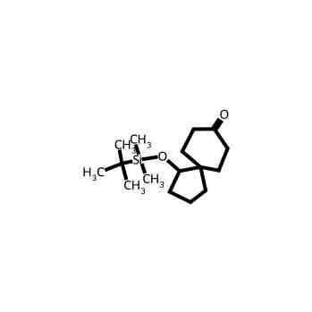 CC(C)(C)[Si](C)(C)OC1CCCC12CCC(=O)CC2